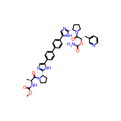 COC(=O)N[C@@H](C)C(=O)N1CCC[C@H]1c1ncc(-c2ccc(-c3ccc(-c4cnc([C@@H]5CCCN5C(=O)[C@H](Cc5cccnc5)OC(N)=O)[nH]4)cc3)cc2)[nH]1